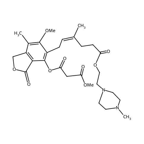 COC(=O)CC(=O)Oc1c(CC=C(C)CCC(=O)OCCN2CCN(C)CC2)c(OC)c(C)c2c1C(=O)OC2